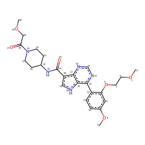 COCCOc1cc(OC)ccc1-c1ncnc2c(C(=O)NC3CCN(C(=O)COC)CC3)c[nH]c12